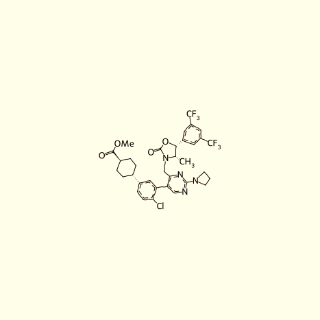 COC(=O)[C@H]1CC[C@H](c2ccc(Cl)c(-c3cnc(N4CCC4)nc3CN3C(=O)O[C@H](c4cc(C(F)(F)F)cc(C(F)(F)F)c4)[C@@H]3C)c2)CC1